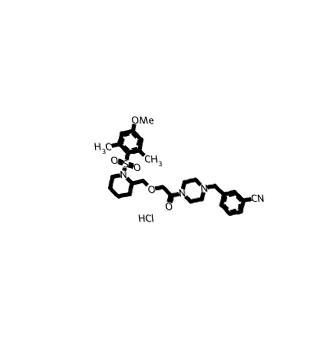 COc1cc(C)c(S(=O)(=O)N2CCCCC2COCC(=O)N2CCN(Cc3cccc(C#N)c3)CC2)c(C)c1.Cl